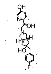 Oc1ccc([C@@H](O)CN2C[C@@H]3CC(O)(Cc4ccc(F)cc4)C[C@@H]3C2)nc1